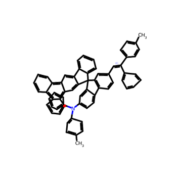 Cc1ccc(/C(=C/c2ccc3c(c2)C2(c4ccccc4-c4cc5c6ccccc6c6ccccc6c5cc42)c2cc(N(c4ccccc4)c4ccc(C)cc4)ccc2-3)c2ccccc2)cc1